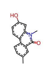 Cc1ccc2c(c1)c(=O)n(C)c1cc(O)ccc21